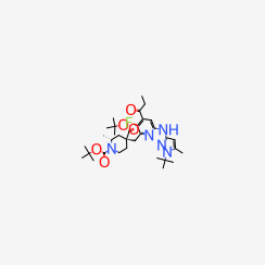 CCC(=O)c1cc(Nc2cc(C)n(C(C)(C)C)n2)nc(C[C@@]2(C(=O)OC(C)(C)C)CCN(C(=O)OC(C)(C)C)[C@H](C)C2)c1F